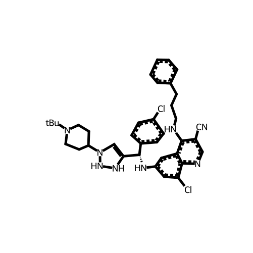 CC(C)(C)N1CCC(N2C=C([C@@H](Nc3cc(Cl)c4ncc(C#N)c(NCCCc5ccccc5)c4c3)c3ccc(Cl)cc3)NN2)CC1